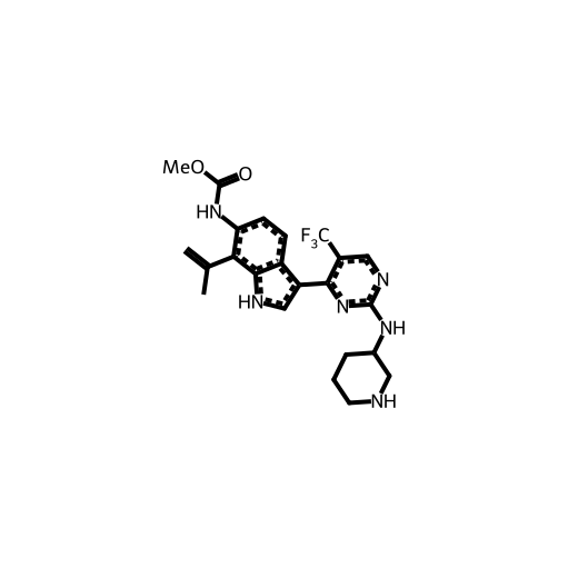 C=C(C)c1c(NC(=O)OC)ccc2c(-c3nc(NC4CCCNC4)ncc3C(F)(F)F)c[nH]c12